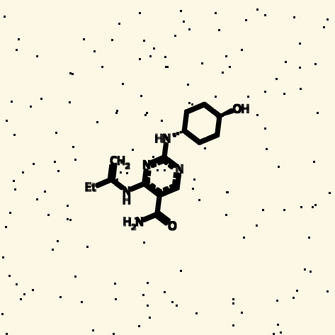 C=C(CC)Nc1nc(N[C@H]2CC[C@H](O)CC2)ncc1C(N)=O